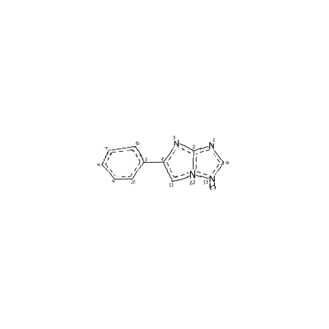 [c]1nc2nc(-c3ccccc3)cn2[nH]1